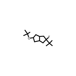 CC(C)(C)OC1CC2CC(F)(C(C)(C)C)CC2C1